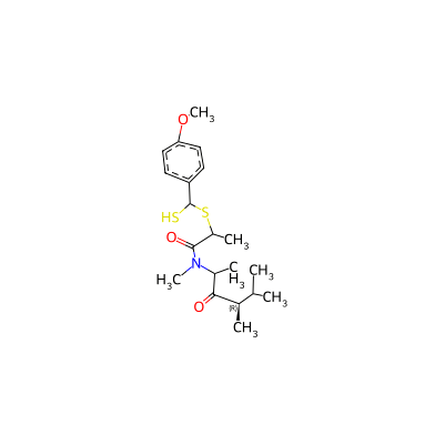 COc1ccc(C(S)SC(C)C(=O)N(C)C(C)C(=O)[C@H](C)C(C)C)cc1